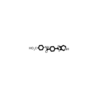 O=C(N[C@H]1CC[C@H](C(=O)O)CC1)C1CCC(c2nc3c(s2)CNCC3)CC1